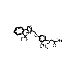 Cc1cc(OCc2nc(-c3ccccc3C(F)(F)F)cs2)ccc1OCC(=O)O